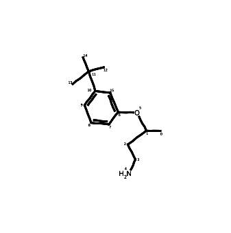 CC(CCN)Oc1cccc(C(C)(C)C)c1